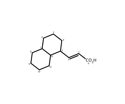 O=C(O)C=CC1CCCC2CCCCC12